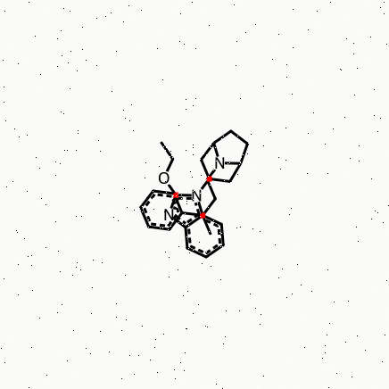 CCOc1nc2ccccc2n1C1CC2CCC(C1)N2CCC(C)c1ccccc1